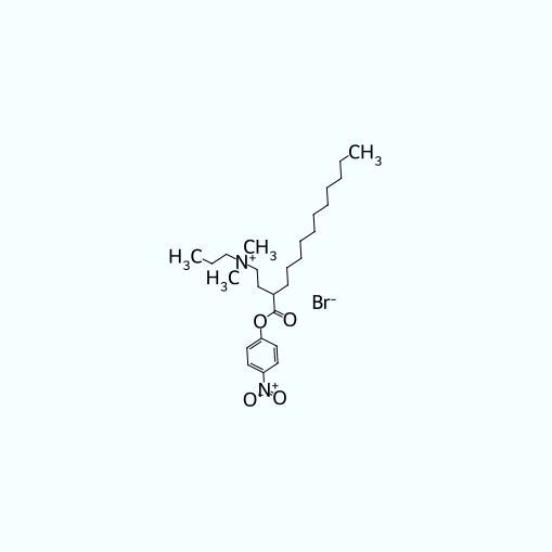 CCCCCCCCCCCC(CC[N+](C)(C)CCC)C(=O)Oc1ccc([N+](=O)[O-])cc1.[Br-]